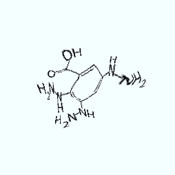 NNc1cc(NN)c(NN)c(C(=O)O)c1